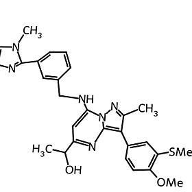 COc1ccc(-c2c(C)nn3c(NCc4cccc(-c5nccn5C)c4)cc(C(C)O)nc23)cc1SC